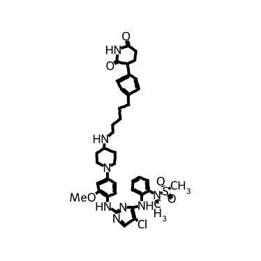 COc1cc(N2CCC(NCCCCCc3ccc(C4CCC(=O)NC4=O)cc3)CC2)ccc1Nc1ncc(Cl)c(Nc2ccccc2N(C)S(C)(=O)=O)n1